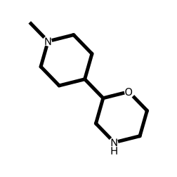 CN1CCC(C2CNCCO2)CC1